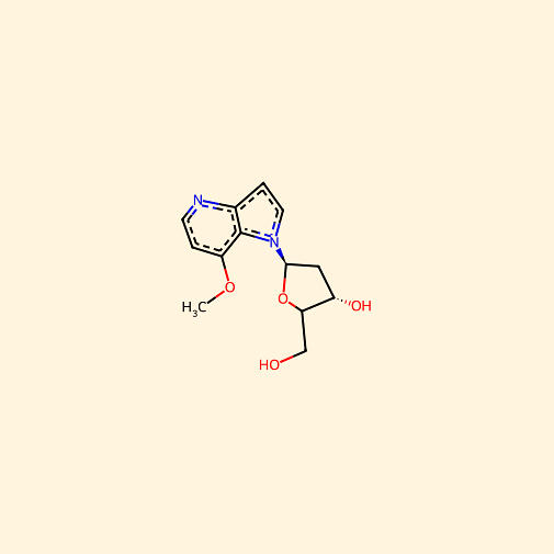 COc1ccnc2ccn([C@H]3C[C@H](O)C(CO)O3)c12